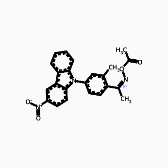 CC(=O)O/N=C(/C)c1ccc(-n2c3ccccc3c3cc([N+](=O)[O-])ccc32)cc1C